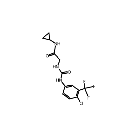 O=C(CNC(=O)Nc1ccc(Cl)c(C(F)(F)F)c1)NC1CC1